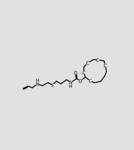 C=CCNCCSCCCNC(=O)OC1CCCCCCCCCCCC1